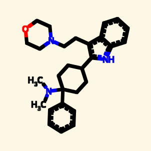 CN(C)C1(c2ccccc2)CCC(c2[nH]c3ccccc3c2CCN2CCOCC2)CC1